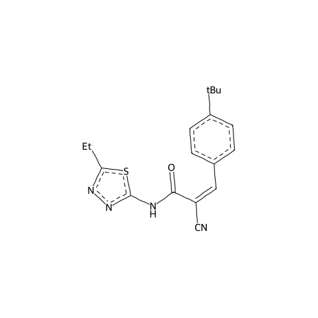 CCc1nnc(NC(=O)C(C#N)=Cc2ccc(C(C)(C)C)cc2)s1